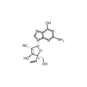 C=N[C@]1(CO)O[C@@H](n2cnc3c(O)nc(N)nc32)[C@@H](C#N)[C@@H]1O